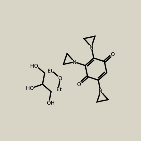 CCOCC.O=C1C=C(N2CC2)C(=O)C(N2CC2)=C1N1CC1.OCC(O)CO